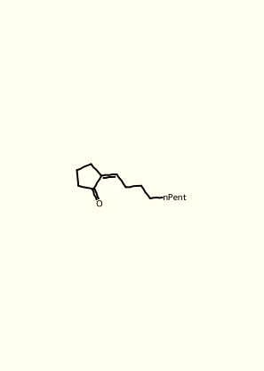 CCCCCCCCC=C1CCCC1=O